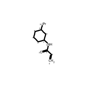 C=CC(=O)NC1CCCC(C(C)C)C1